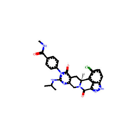 CNC(=O)c1ccc(-n2c(NC(C)C)nc3c(c2=O)C[C@H]2c4c(Cl)ccc5[nH]nc(c45)C(=O)N2C3)cc1